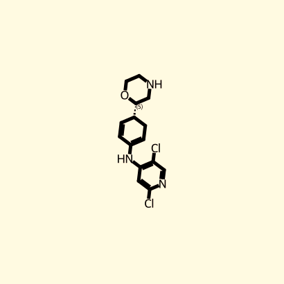 Clc1cc(NC2=CCC([C@H]3CNCCO3)C=C2)c(Cl)cn1